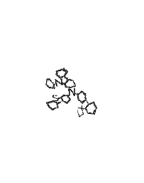 c1ccc(-n2c3ccccc3c3ccc(N(c4ccc5c(c4)C4(CCCC4)c4ccccc4-5)c4ccc5c(c4)sc4ccccc45)cc32)cc1